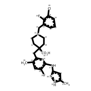 Cc1cc(Nc2nc(CC3(C(=O)O)CCN(Cc4cccc(Cl)c4F)CC3)c(C)cc2F)n[nH]1